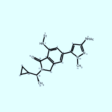 CCNc1cc(-c2cc(NC(C)=O)nn2C)cc2c1C(=O)N([C@@H](C)C1CC1)C2